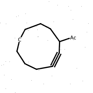 [CH2]C(=O)C1C#CCCCCCCC1